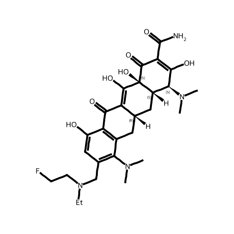 CCN(CCF)Cc1cc(O)c2c(c1N(C)C)C[C@H]1C[C@H]3[C@H](N(C)C)C(O)=C(C(N)=O)C(=O)[C@@]3(O)C(O)=C1C2=O